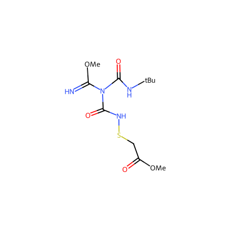 COC(=N)N(C(=O)NSCC(=O)OC)C(=O)NC(C)(C)C